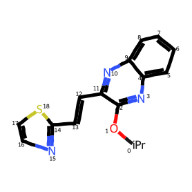 CC(C)Oc1nc2ccccc2nc1/C=C/c1nccs1